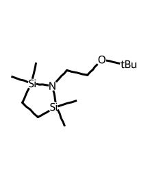 CC(C)(C)OCCN1[Si](C)(C)CC[Si]1(C)C